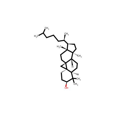 CC(C)CCC[C@@H](C)[C@H]1CC[C@@]2(C)[C@@H]3CC[C@H]4C(C)(C)[C@@H](O)CC[C@@]45C[C@@]35CC[C@]12C